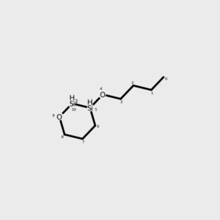 CCCCO[SiH]1CCCO[SiH2]1